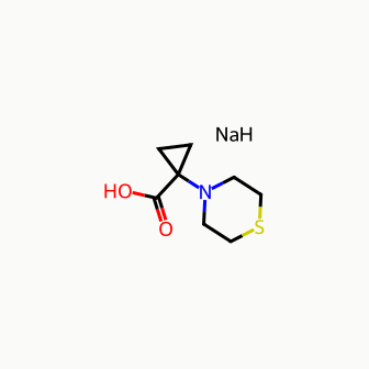 O=C(O)C1(N2CCSCC2)CC1.[NaH]